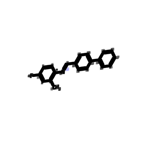 Cc1cc(F)ccc1/N=C/c1ccc(-c2ccccc2)cc1